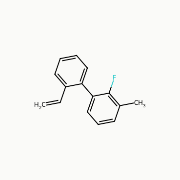 C=Cc1ccccc1-c1cccc(C)c1F